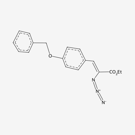 CCOC(=O)C(=Cc1ccc(OCc2ccccc2)cc1)N=[N+]=[N-]